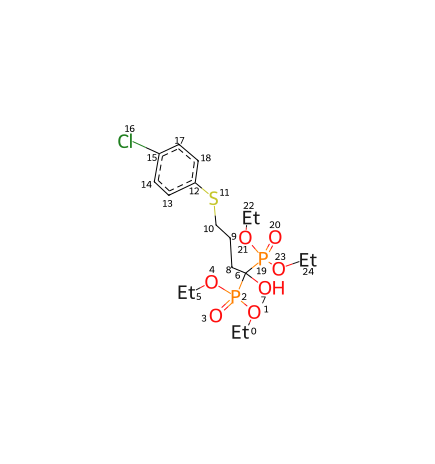 CCOP(=O)(OCC)C(O)(CCCSc1ccc(Cl)cc1)P(=O)(OCC)OCC